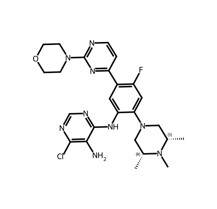 C[C@@H]1CN(c2cc(F)c(-c3ccnc(N4CCOCC4)n3)cc2Nc2ncnc(Cl)c2N)C[C@H](C)N1C